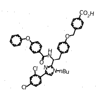 CCCCn1cc(-c2ccc(Cl)cc2Cl)nc1[C@H](Cc1ccc(OCc2ccc(C(=O)O)cc2)cc1)NC(=O)c1ccc(Oc2ccccc2)cc1